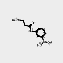 CCCCCCCCCCC(=O)Nc1cccc(B(O)O)c1